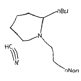 C#N.CCCCCCCCCCCN1CCCCC1CCCC